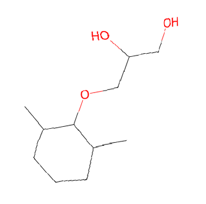 CC1CCCC(C)C1OCC(O)CO